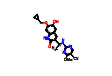 COc1nc(N[C@@H](C)c2cc3cc(O)c(OCC4CC4)cc3[nH]c2=O)ncc1C#N